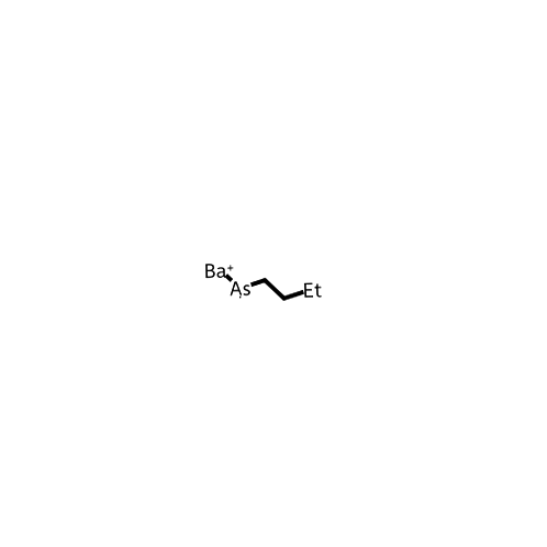 [CH2-]CCC[As][Ba+]